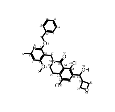 COc1cc(C)nc(OCc2ccccc2)c1CN1CCc2c(Cl)cc(C(O)C3COC3)c(Cl)c2C1=O